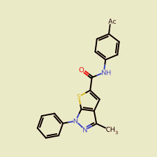 CC(=O)c1ccc(NC(=O)c2cc3c(C)nn(-c4ccccc4)c3s2)cc1